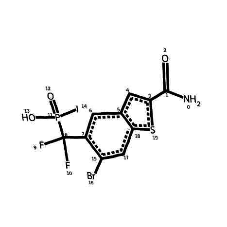 NC(=O)c1cc2cc(C(F)(F)P(=O)(O)I)c(Br)cc2s1